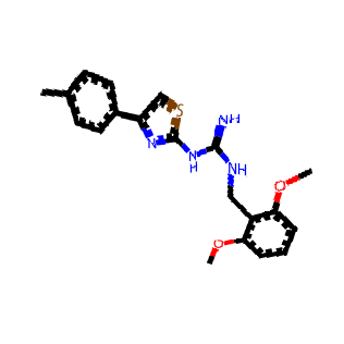 COc1cccc(OC)c1CNC(=N)Nc1nc(-c2ccc(C)cc2)cs1